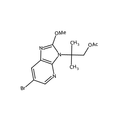 COc1nc2cc(Br)cnc2n1C(C)(C)COC(C)=O